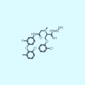 Cc1cccc(Cl)c1Oc1ccc(NC(=O)CN(C)C(COc2ccccc2Cl)C(=N)NN=N)cc1F